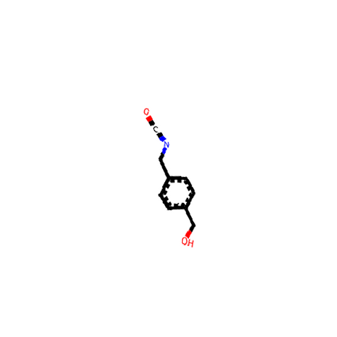 O=C=NCc1ccc(CO)cc1